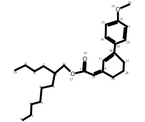 CCCCCCC(CCCC)COC(=O)C=C1C=C(c2ccc(OC)cc2)CCC1